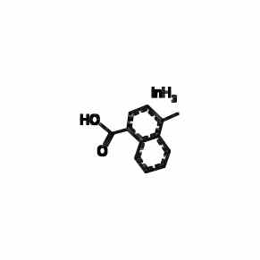 Cc1ccc(C(=O)O)c2ccccc12.[InH3]